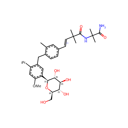 COc1cc(C(C)C)c(Cc2ccc(/C=C/C(C)(C)C(=O)NC(C)(C)C(N)=O)cc2C)cc1[C@@H]1O[C@H](CO)[C@@H](O)[C@H](O)[C@H]1O